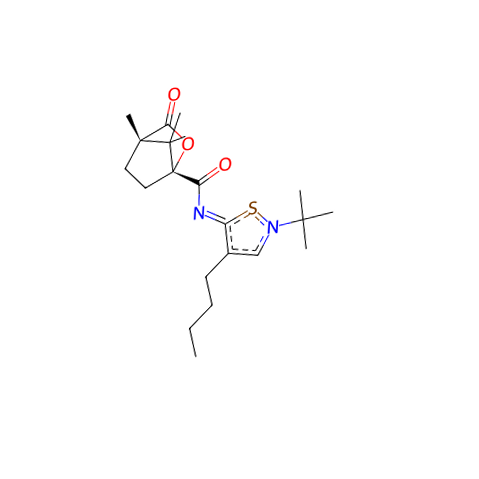 CCCCc1cn(C(C)(C)C)sc1=NC(=O)[C@]12CC[C@](C)(C(=O)O1)C2(C)C